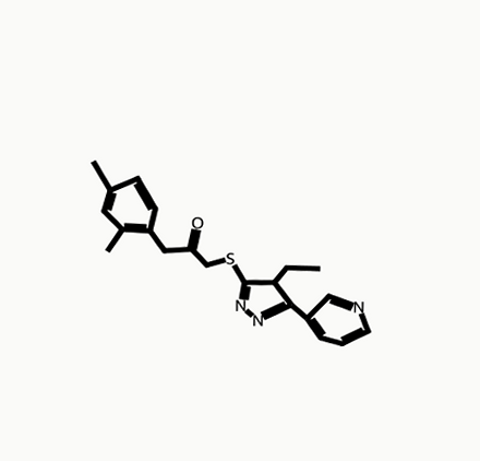 CCC1C(SCC(=O)Cc2ccc(C)cc2C)=NN=C1c1cccnc1